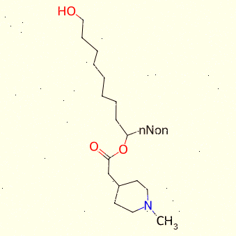 CCCCCCCCCC(CCCCCCCCO)OC(=O)CC1CCN(C)CC1